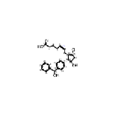 O=C(O)CCC/C=C\C[C@@H]1[C@@H](c2ccc(C(O)c3ccccc3)cc2)[C@H](O)C[C@@H]1Cl